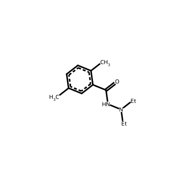 CCN(CC)NC(=O)c1cc(C)ccc1C